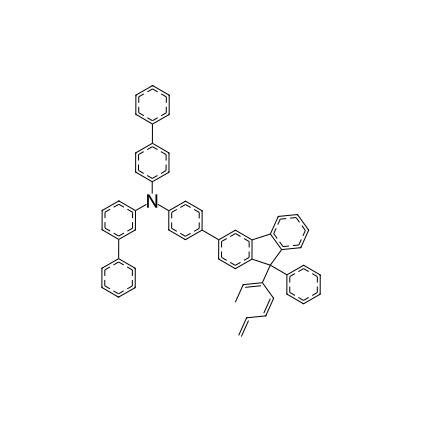 C=C/C=C\C(=C/C)C1(c2ccccc2)c2ccccc2-c2cc(-c3ccc(N(c4ccc(-c5ccccc5)cc4)c4cccc(-c5ccccc5)c4)cc3)ccc21